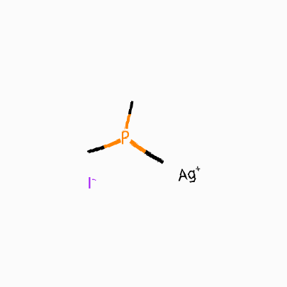 CP(C)C.[Ag+].[I-]